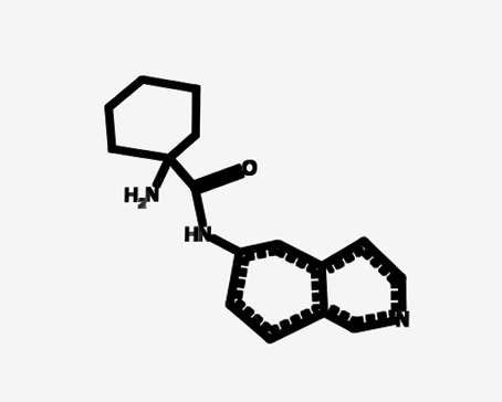 NC1(C(=O)Nc2ccc3cnccc3c2)CCCCC1